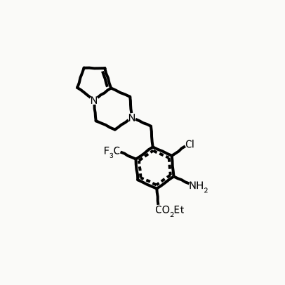 CCOC(=O)c1cc(C(F)(F)F)c(CN2CCN3CCC=C3C2)c(Cl)c1N